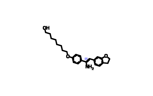 N/C(=C\c1ccc2c(c1)OCC2)c1ccc(OCCCCCCCCO)cc1